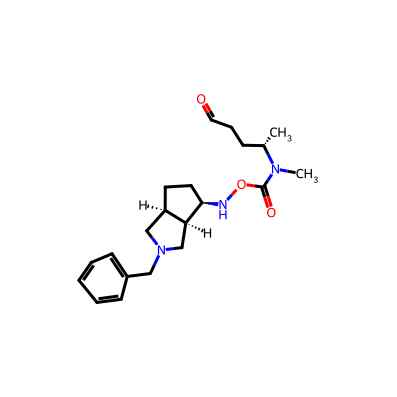 C[C@@H](CCC=O)N(C)C(=O)ON[C@@H]1CC[C@@H]2CN(Cc3ccccc3)C[C@@H]21